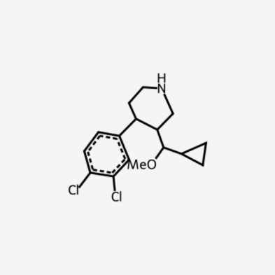 COC(C1CC1)C1CNCCC1c1ccc(Cl)c(Cl)c1